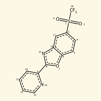 O=S(=O)(c1ccc2oc(-c3ccccn3)nc2c1)C(F)(F)F